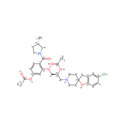 CC(C)[C@H]1CCN(C(=O)c2ccc(OC(=O)C(F)(F)F)cc2OC[C@H](CN2CCC3(CC2)Cc2cc(Cl)ccc2O3)OC(=O)C(F)(F)F)C1